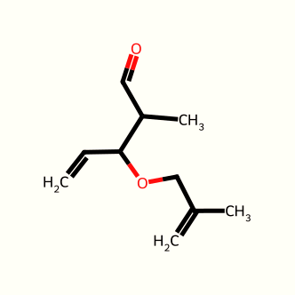 C=CC(OCC(=C)C)C(C)C=O